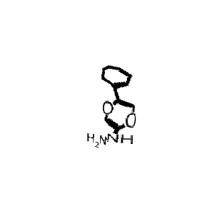 NNC1=COC(C2=CC=CCC2)=CO1